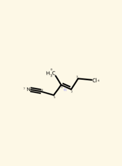 C/C(=C\CCl)CC#N